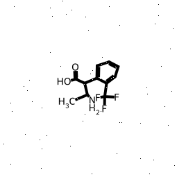 CC(N)C(C(=O)O)c1ccccc1C(F)(F)F